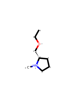 [CH2-][NH+]1CCC[C@H]1COCC